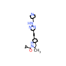 CC(Cc1ccc(C#Cc2cnc(NCc3ccncc3)nc2)cc1)NC(=O)C1CC1